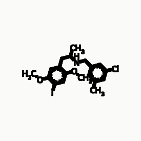 COc1cc(CC(C)NCc2cc(C)cc(Cl)c2)c(OC)cc1I